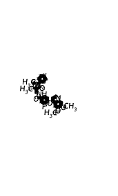 COc1cc2nccc(Oc3ccc(C(=O)NCc4c(C)n(C)n(-c5ccccc5)c4=O)cc3F)c2cc1OC